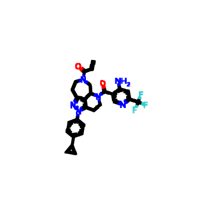 C=CC(=O)N1CCc2nn(-c3ccc(C4CC4)cc3)c3c2C(C1)N(C(=O)c1cnc(C(F)(F)F)cc1N)CC3